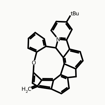 C=Cc1c2ccc3ccc4c(c13)-c1c(ccc3c1C(c1ccccc1O2)[n+]1ccc(C(C)(C)C)cc1-3)C4